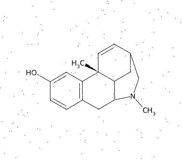 CN1CC2C=C[C@@]3(C)c4cc(O)ccc4CC1C3C2